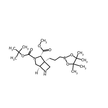 COC(=O)[C@H]1N(C(=O)OC(C)(C)C)C[C@@H]2NC[C@@]21CCCB1OC(C)(C)C(C)(C)O1